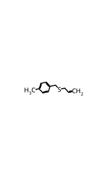 C=CCSCc1ccc(C)cc1